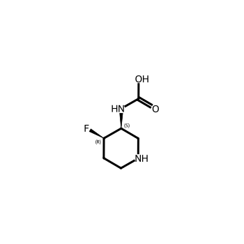 O=C(O)N[C@H]1CNCC[C@H]1F